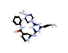 CC#Cc1nc(Nc2cc(C(=O)Nc3ccccc3)ccn2)nc(N2CCN(C)CC2)n1